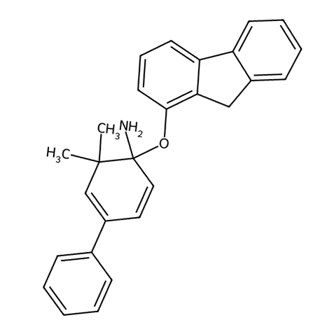 CC1(C)C=C(c2ccccc2)C=CC1(N)Oc1cccc2c1Cc1ccccc1-2